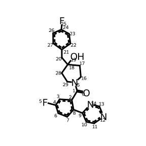 O=C(c1cc(F)ccc1-c1ccncn1)N1CCC(O)(Cc2ccc(F)cc2)CC1